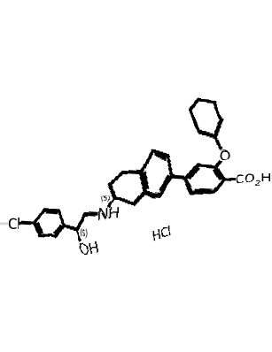 Cl.O=C(O)c1ccc(-c2ccc3c(c2)C[C@@H](NC[C@@H](O)c2ccc(Cl)cc2)CC3)cc1OC1CCCCC1